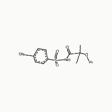 CC(C)OC(C)(C)C(=O)NS(=O)(=O)c1ccc(N=O)cc1